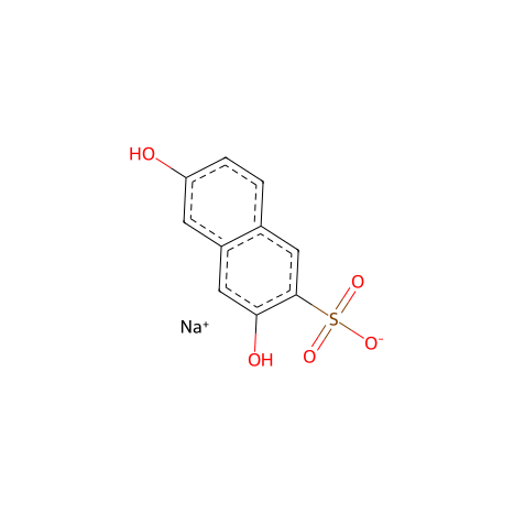 O=S(=O)([O-])c1cc2ccc(O)cc2cc1O.[Na+]